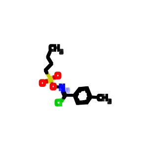 CCCCS(=O)(=O)O/N=C(\Cl)c1ccc(C)cc1